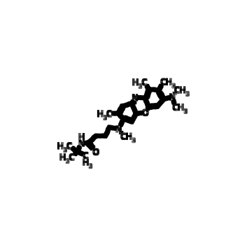 CC1=CC2=Nc3c(cc(N(C)C)c(C)c3C)OC2C=C1N(C)CCCC(=O)NC(C)(C)C